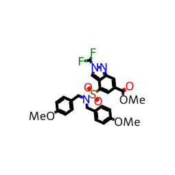 COC(=O)c1cc(S(=O)(=O)N(Cc2ccc(OC)cc2)Cc2ccc(OC)cc2)c2cn(C(F)F)nc2c1